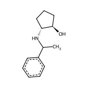 CC(N[C@@H]1CCC[C@H]1O)c1ccccc1